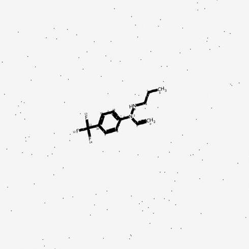 C=CN(NCCC)c1ccc(C(F)(F)F)cc1